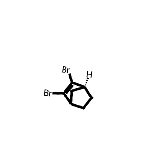 BrC1=C(Br)[C@H]2CCC1C2